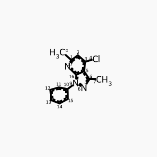 Cc1cc(Cl)c2c(C)nn(-c3ccccc3)c2n1